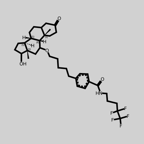 C[C@]12CCC(=O)CC1CC[C@@H]1[C@H]2C(OCCCCCc2ccc(C(=O)NCCCC(F)(F)C(F)(F)F)cc2)C[C@]2(C)C(O)CC[C@@H]12